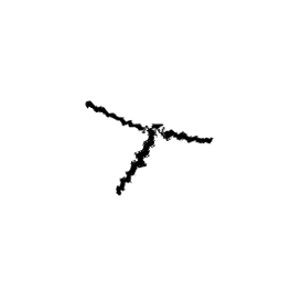 CCCCCCCCCCCCCC1N(CCCCCCCCC)C=CN1CCCCCCCCCCCCC